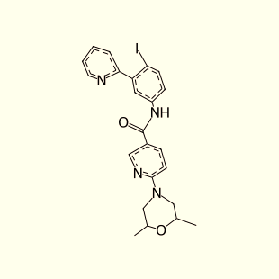 CC1CN(c2ccc(C(=O)Nc3ccc(I)c(-c4ccccn4)c3)cn2)CC(C)O1